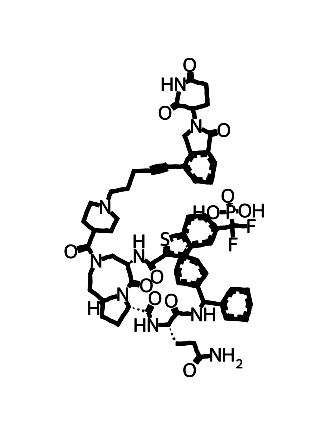 NC(=O)CC[C@H](NC(=O)[C@@H]1CC[C@@H]2CCN(C(=O)C3CCN(CCCC#Cc4cccc5c4CN(C4CCC(=O)NC4=O)C5=O)CC3)C[C@H](NC(=O)c3cc4cc(C(F)(F)P(=O)(O)O)ccc4s3)C(=O)N21)C(=O)NC(c1ccccc1)c1ccccc1